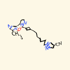 Cc1cncc(C2CC=NN2C(=O)C23CC(CCCCCCn4cc(C#N)cn4)(C2)C3)n1